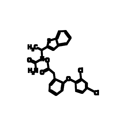 CC(c1cc2ccccc2s1)N(OC(=O)Cc1ccccc1Oc1ccc(Cl)cc1Cl)C(N)=O